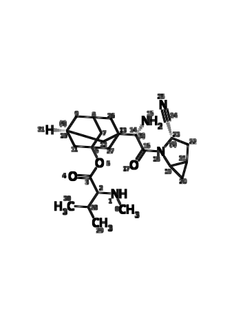 CNC(C(=O)OC12CC3C[C@H](C1)CC([C@H](N)C(=O)N1C4CC4C[C@H]1C#N)(C3)C2)C(C)C